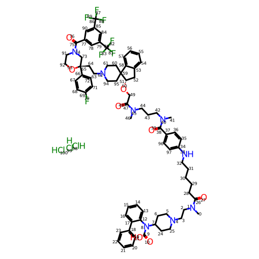 CN(CCN1CCC(N(C(=O)O)c2ccccc2-c2ccccc2)CC1)C(=O)CCCCCNc1ccc(C(=O)N(C)CCCN(C)C(=O)CO[C@H]2Cc3ccccc3C23CCN(CC[C@]2(c4ccc(F)cc4)CN(C(=O)c4cc(C(F)(F)F)cc(C(F)(F)F)c4)CCO2)CC3)cc1.Cl.Cl.Cl